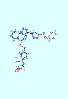 Cc1nc(COc2nn3c(-c4cc(COC5CCCCO5)on4)nnc3c3ccccc23)ccc1C(=O)NC(C)CO